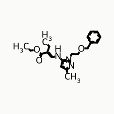 CCOC(=O)/C(=C/Nc1cc(C)nn1CCOCc1ccccc1)CC